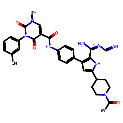 CC(C)C(=O)N1CCC(c2cc(-c3ccc(NC(=O)c4cn(C(C)C)c(=O)n(-c5cccc(C#N)c5)c4=O)cc3)c(/C(N)=N\C=N)[nH]2)CC1